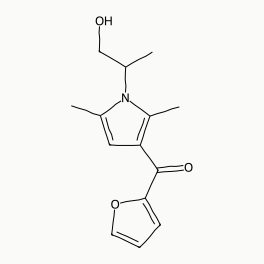 Cc1cc(C(=O)c2ccco2)c(C)n1C(C)CO